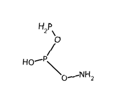 NOP(O)OP